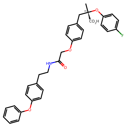 C[C@@](Cc1ccc(OCC(=O)NCCc2ccc(Oc3ccccc3)cc2)cc1)(Oc1ccc(F)cc1)C(=O)O